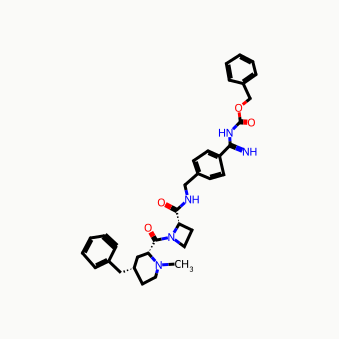 CN1CC[C@H](Cc2c#cccc2)C[C@@H]1C(=O)N1CC[C@H]1C(=O)NCc1ccc(C(=N)NC(=O)OCc2ccccc2)cc1